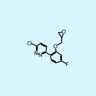 Fc1ccc(-c2ccc(Cl)nn2)c(OCC2CO2)c1